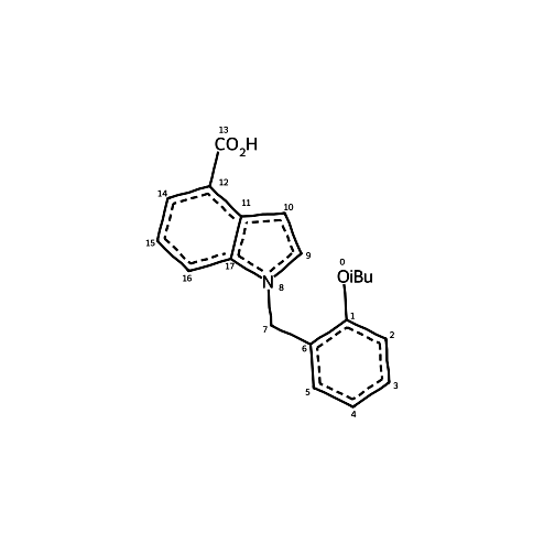 CC(C)COc1ccccc1Cn1ccc2c(C(=O)O)cccc21